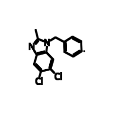 Cc1nc2cc(Cl)c(Cl)cc2n1Cc1cc[c]cc1